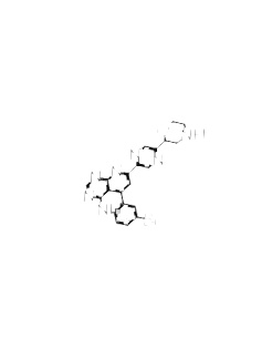 Nc1ncnc2nc(-c3cnc(C4CNCCO4)cn3)cc(-c3cccc(Br)c3)c12